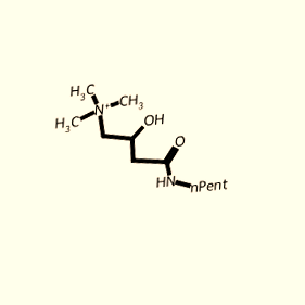 CCCCCNC(=O)CC(O)C[N+](C)(C)C